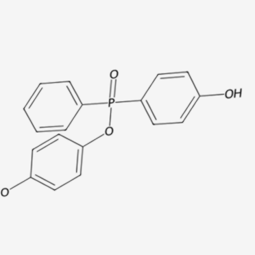 O=P(Oc1ccc(O)cc1)(c1ccccc1)c1ccc(O)cc1